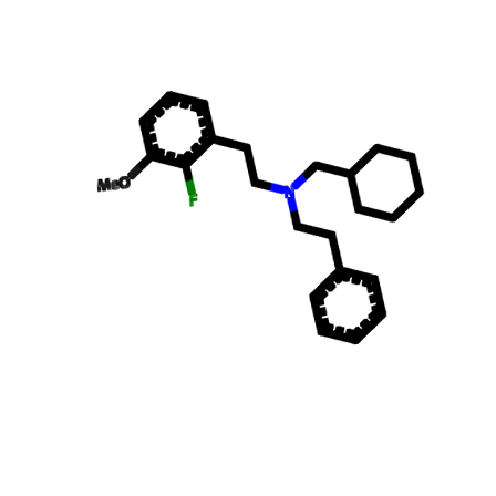 COc1cccc(CCN(CCc2ccccc2)CC2CCCCC2)c1F